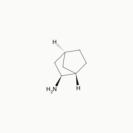 N[C@H]1C[C@H]2CC[C@H]1C2